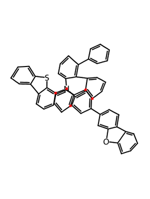 c1ccc(-c2ccccc2-c2c(-c3ccccc3)cccc2N(c2ccc(-c3ccc4c(c3)oc3ccccc34)cc2)c2cccc3c2sc2ccccc23)cc1